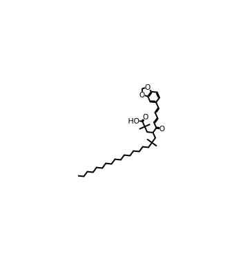 CCCCCCCCCCCCCCCCC(C)(C)CC(CC(C)(C)C(=O)O)C(=O)C=CC=Cc1ccc2c(c1)OCO2